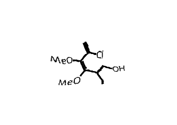 C=C(Cl)/C(OC)=C(/OC)C(C)CO